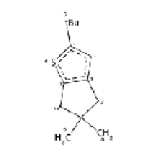 CC1(C)Cc2cc(C(C)(C)C)sc2C1